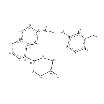 Cc1nccc(CCOc2ccc3cccc(N4CCN(C)CC4)c3c2)n1